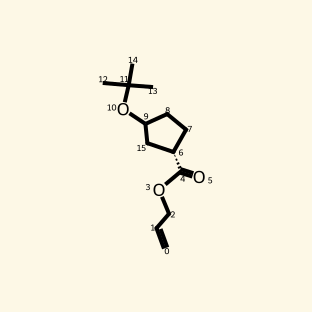 C=CCOC(=O)[C@H]1CCC(OC(C)(C)C)C1